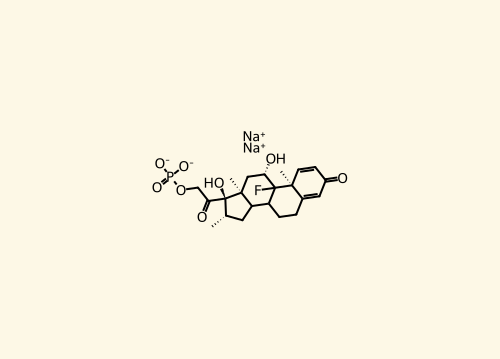 C[C@H]1CC2C3CCC4=CC(=O)C=C[C@]4(C)C3(F)[C@@H](O)C[C@]2(C)[C@@]1(O)C(=O)COP(=O)([O-])[O-].[Na+].[Na+]